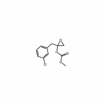 COC(=O)OC1(Cc2cccc(Cl)c2)CO1